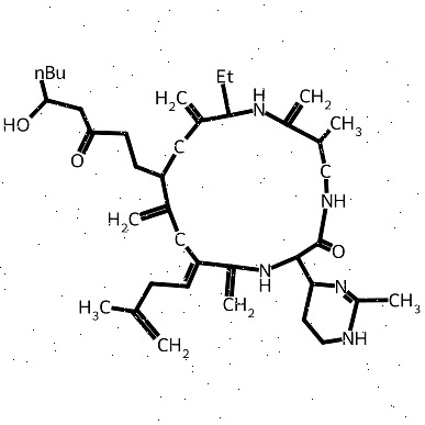 C=C(C)C/C=C1\CC(=C)C(CCC(=O)CC(O)CCCC)CC(=C)C(CC)NC(=C)C(C)CNC(=O)C(C2CCNC(C)=N2)NC1=C